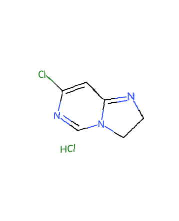 Cl.ClC1=CC2=NCCN2C=N1